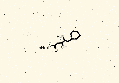 CCCCCCNC(=O)CC(O)C(N)CC1CCCCC1